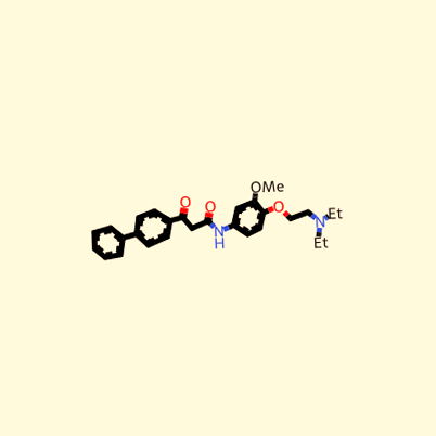 CCN(CC)CCOc1ccc(NC(=O)CC(=O)c2ccc(-c3ccccc3)cc2)cc1OC